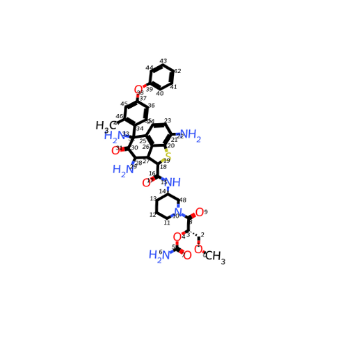 COC[C@H](OC(N)=O)C(=O)N1CCC[C@@H](NC(=O)C2Sc3c(N)ccc4c3C2C(N)C(=O)C4(N)c2ccc(Oc3ccccc3)cc2C)C1